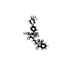 CN1CCN(c2ccc(S(=O)(=O)N[C@H](CCCN3C(=O)c4ccccc4S3(=O)=O)C(=O)NO)cc2)CC1